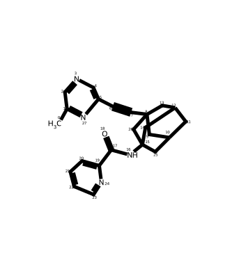 Cc1cncc(C#CC23CC4CC(C2)CC(NC(=O)c2ccccn2)(C4)C3)n1